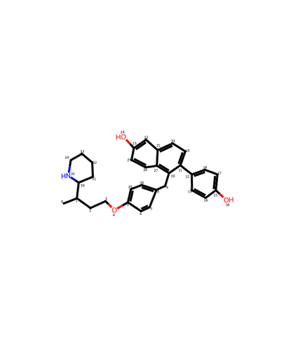 CC(CCOc1ccc(Cc2c(-c3ccc(O)cc3)ccc3cc(O)ccc23)cc1)C1CCCCN1